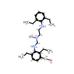 CCc1cccc(CC)c1NCCN(Br)CNc1c(CC)cc[c]([Co][Br])c1CC